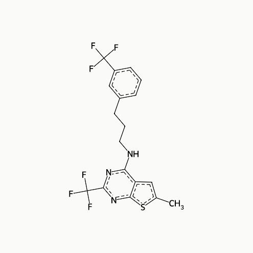 Cc1cc2c(NCCCc3cccc(C(F)(F)F)c3)nc(C(F)(F)F)nc2s1